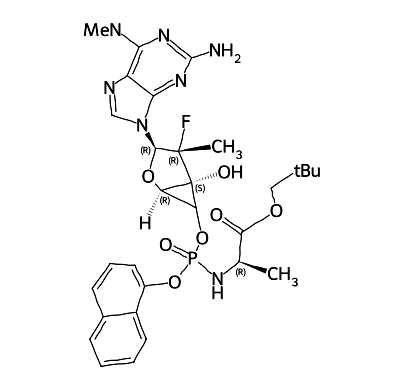 CNc1nc(N)nc2c1ncn2[C@@H]1O[C@@H]2C(OP(=O)(N[C@H](C)C(=O)OCC(C)(C)C)Oc3cccc4ccccc34)[C@]2(O)[C@@]1(C)F